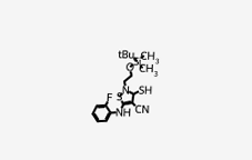 CC(C)(C)[Si](C)(C)OCCN1SC(Nc2ccccc2F)=C(C#N)C1S